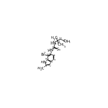 Cc1cc2ccc(NC(=S)NC(C)(C)CO)c(Br)c2[nH]1